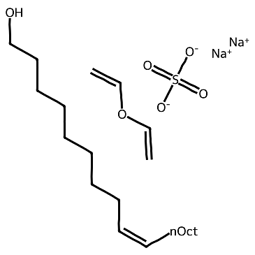 C=COC=C.CCCCCCCC/C=C\CCCCCCCCO.O=S(=O)([O-])[O-].[Na+].[Na+]